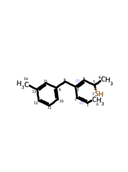 C/C=C\C(=C/C(C)S)Cc1cccc(C)c1